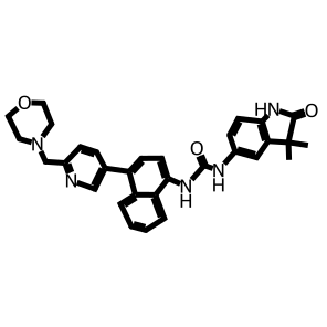 CC1(C)C(=O)Nc2ccc(NC(=O)Nc3ccc(-c4ccc(CN5CCOCC5)nc4)c4ccccc34)cc21